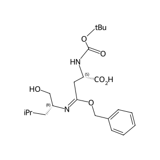 CC(C)C[C@H](CO)N=C(C[C@H](NC(=O)OC(C)(C)C)C(=O)O)OCc1ccccc1